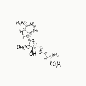 Nc1ncnc2c1ncn2[C@@H]1O[C@H](CSCC[C@H](N)C(=O)O)[C@@H](O)[C@H]1C=O